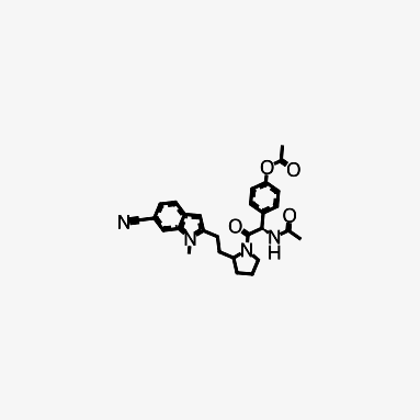 CC(=O)N[C@@H](C(=O)N1CCCC1CCc1cc2ccc(C#N)cc2n1C)c1ccc(OC(C)=O)cc1